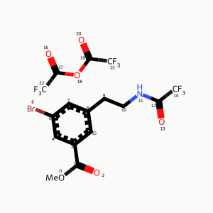 COC(=O)c1cc(Br)cc(CCNC(=O)C(F)(F)F)c1.O=C(OC(=O)C(F)(F)F)C(F)(F)F